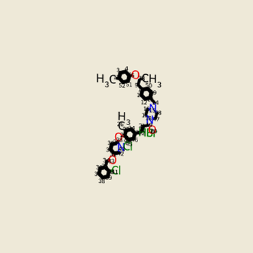 Br.Cc1ccc(OC(C)Cc2ccc(CN3CCN(C(=O)C=Cc4cc(C)c(Oc5ccc(OCc6ccccc6Cl)cn5)c(Cl)c4)CC3)cc2)cc1